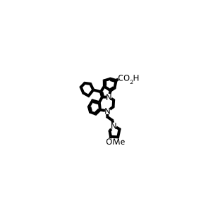 COC1CCN(CCN2CCn3c(c(C4CCCCC4)c4ccc(C(=O)O)cc43)-c3ccccc32)C1